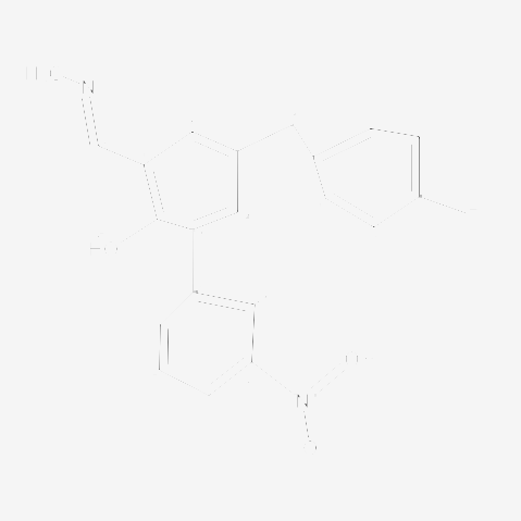 CN=Cc1cc(Cc2ccc(F)cc2)cc(-c2cccc([N+](=O)[O-])c2)c1O